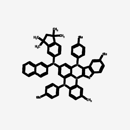 Cc1ccc2c(c1)B1c3sc4ccc(C(C)(C)C)cc4c3N(c3ccc(C(C)(C)C)cc3)c3cc(N(c4ccc5c(c4)C(C)(C)CC5(C)C)c4ccc5ccccc5c4)cc(c31)N2c1ccc(C(C)(C)C)cc1